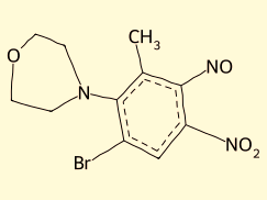 Cc1c(N=O)c([N+](=O)[O-])cc(Br)c1N1CCOCC1